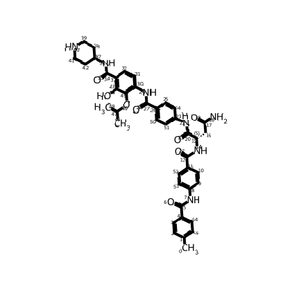 Cc1ccc(C(=O)Nc2ccc(C(=O)N[C@@H](CC(N)=O)C(=O)Nc3ccc(C(=O)Nc4ccc(C(=O)NC5CCNCC5)c(O)c4OC(C)C)cc3)cc2)cc1